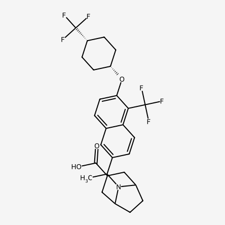 CC(c1ccc2c(C(F)(F)F)c(O[C@H]3CC[C@@H](C(F)(F)F)CC3)ccc2c1)N1C2CCC1CC(C(=O)O)C2